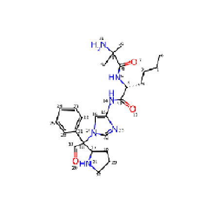 CCCC[C@@H](NC(=O)C(C)(C)N)C(=O)Nc1cn(C(C=O)(c2ccccc2)C2CCCN2)cn1